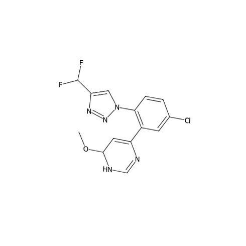 COC1C=C(c2cc(Cl)ccc2-n2cc(C(F)F)nn2)N=CN1